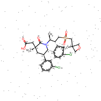 C[C@@H](CCS(=O)(=O)CC1(C)COC1)N1C(=O)[C@@](C)(CC(=O)O)C[C@H](c2cccc(Cl)c2)[C@H]1c1ccc(Cl)cc1